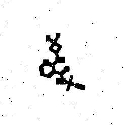 C#CC(C)(C)NC(=O)c1cccnc1NC1CC(F)(F)C1